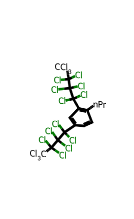 [CH2]CCc1ccc(C(Cl)(Cl)C(Cl)(Cl)C(Cl)(Cl)C(Cl)(Cl)Cl)cc1C(Cl)(Cl)C(Cl)(Cl)C(Cl)(Cl)C(Cl)(Cl)Cl